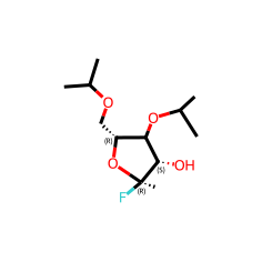 CC(C)OC[C@H]1O[C@](C)(F)[C@@H](O)C1OC(C)C